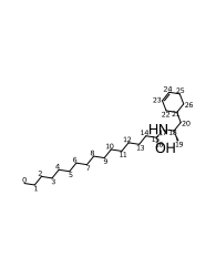 CCCCCCCCCCCCCCCC(O)N[C@H](C)CC1CC=CCC1